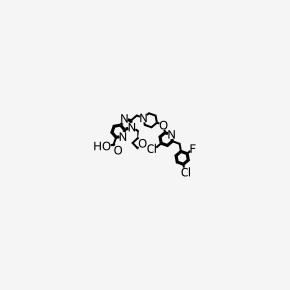 O=C(O)c1ccc2nc(CN3CCC(Oc4cc(Cl)cc(Cc5ccc(Cl)cc5F)n4)CC3)n(C[C@@H]3CCO3)c2n1